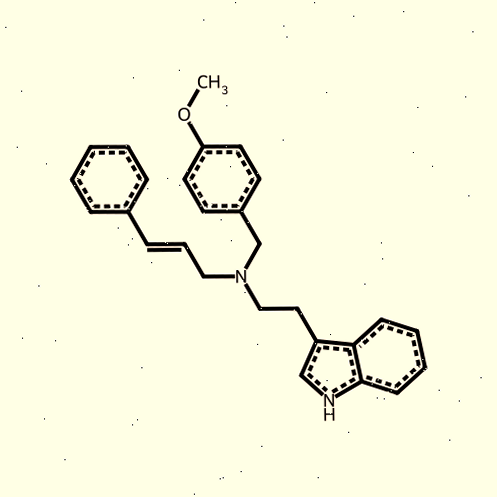 COc1ccc(CN(C/C=C/c2ccccc2)CCc2c[nH]c3ccccc23)cc1